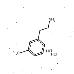 Cl.Cl.NCCc1cccc(Cl)c1